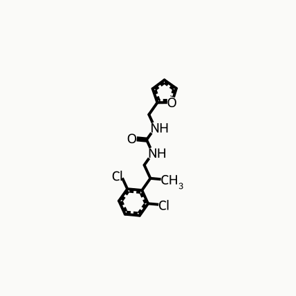 CC(CNC(=O)NCc1ccco1)c1c(Cl)cccc1Cl